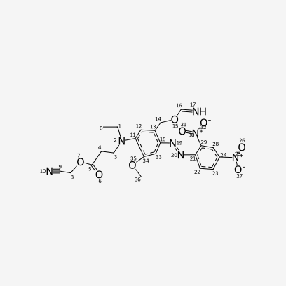 CCN(CCC(=O)OCC#N)c1cc(COC=N)c(N=Nc2ccc([N+](=O)[O-])cc2[N+](=O)[O-])cc1OC